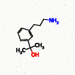 CC(C)(O)c1cccc(CCCN)c1